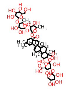 C[C@@H]1O[C@@H](O[C@H]2[C@H](OC(=O)[C@]34CCC(C)(C)CC3C3=CCC5[C@@]6(C)C[C@H](O)[C@H](O[C@@H]7O[C@H](C(=O)O)[C@@H](O)[C@H](O[C@@H]8OC[C@@H](O)[C@H](O)[C@H]8O)[C@H]7O)[C@@](C)(C(=O)O)C6CC[C@@]5(C)[C@]3(C)CC4)O[C@H](C)[C@H](O)[C@@H]2O)[C@H](O)[C@H](O)[C@H]1O[C@@H]1O[C@H](CO)[C@@H](O)[C@H](O)[C@H]1O